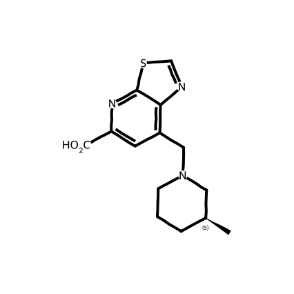 C[C@H]1CCCN(Cc2cc(C(=O)O)nc3scnc23)C1